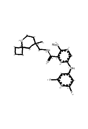 COc1ncc(Nc2cc(F)nc(F)c2)nc1C(=O)NCC1(C)CCOC2(CCC2)C1